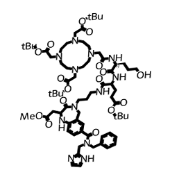 COC(=O)CC1Nc2ccc(C(=O)N(Cc3ccccc3)Cc3ncc[nH]3)cc2CN(CCCNC(=O)C(CCC(=O)OC(C)(C)C)NC(=O)[C@H](CCCO)NC(=O)CN2CCN(CC(=O)OC(C)(C)C)CCN(CC(=O)OC(C)(C)C)CCN(CC(=O)OC(C)(C)C)CC2)C1=O